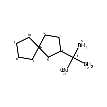 BC(B)(C1CCC2(CCCC2)C1)C(C)(C)C